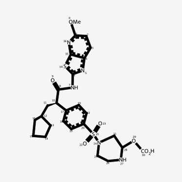 COc1ccc2nc(NC(=O)[C@H](CC3CCCC3)c3ccc(S(=O)(=O)N4CCNC(OC(=O)O)C4)cc3)sc2n1